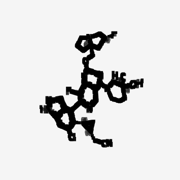 C[C@@]1(O)CCCN(c2nc(OC[C@@]34CCCN3C[C@H](F)C4)nc3c(F)c(-c4c([C@@H]5C[C@@H]5CC#N)c(Cl)cc5[nH]ncc45)ncc23)C1